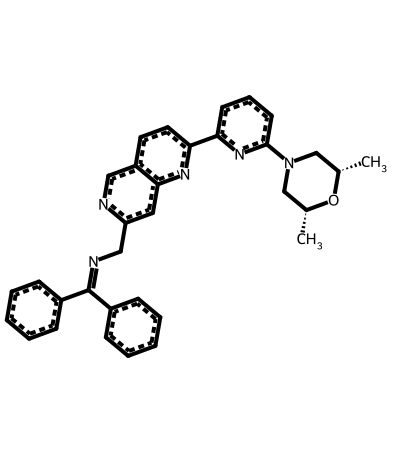 C[C@@H]1CN(c2cccc(-c3ccc4cnc(CN=C(c5ccccc5)c5ccccc5)cc4n3)n2)C[C@H](C)O1